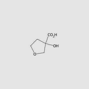 O=C(O)C1(O)CCOC1